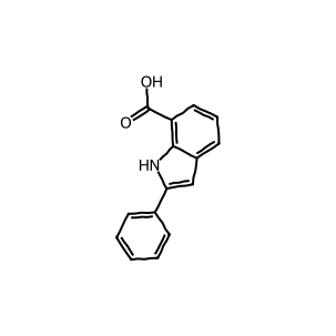 O=C(O)c1cccc2cc(-c3ccccc3)[nH]c12